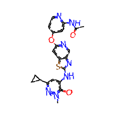 CC(=O)Nc1cc(Oc2cc3sc(Nc4cc(C5CC5)nn(C)c4=O)nc3cn2)ccn1